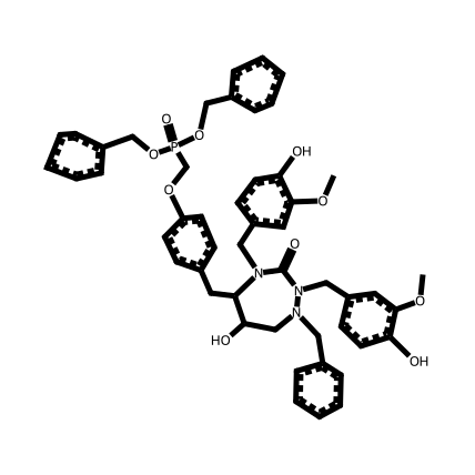 COc1cc(CN2C(=O)N(Cc3ccc(O)c(OC)c3)N(Cc3ccccc3)CC(O)C2Cc2ccc(OCP(=O)(OCc3ccccc3)OCc3ccccc3)cc2)ccc1O